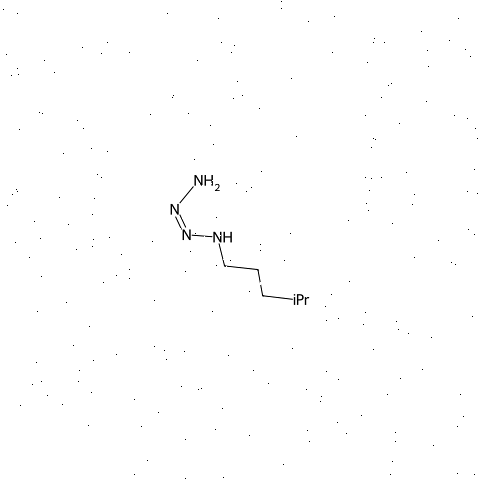 CC(C)CCCN/N=N\N